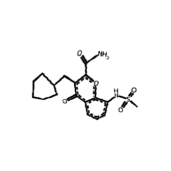 CS(=O)(=O)Nc1cccc2c(=O)c(CC3CCCCC3)c(C(N)=O)oc12